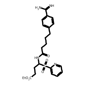 CCOC(=O)CCC(NC(=O)CCCCc1ccc(C(=N)N)cc1)S(=O)(=O)c1ccccn1